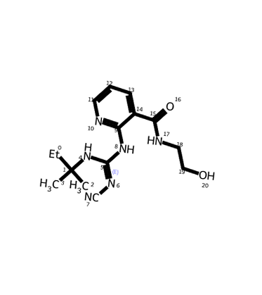 CCC(C)(C)N/C(=N\C#N)Nc1ncccc1C(=O)NCCO